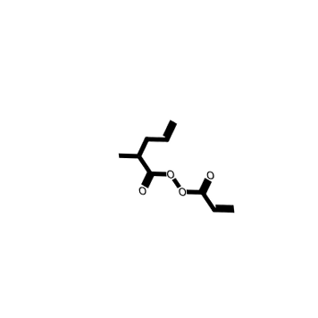 C=CCC(C)C(=O)OOC(=O)C=C